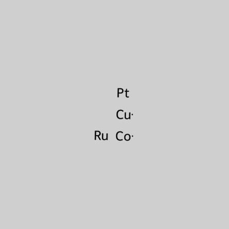 [Co].[Cu].[Pt].[Ru]